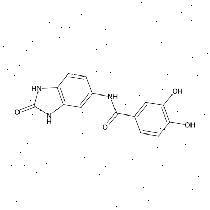 O=C(Nc1ccc2[nH]c(=O)[nH]c2c1)c1ccc(O)c(O)c1